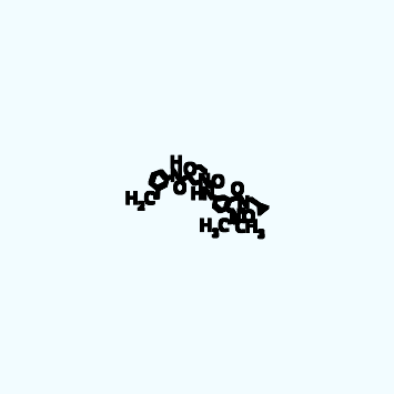 C=Cc1cccc(NC(=O)C2CN(C(=O)Nc3ccc4c(c3)c(=O)n(CC3CC3)c(=O)n4C(C)C)CCO2)c1